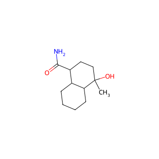 CC1(O)CCC(C(N)=O)C2CCCCC21